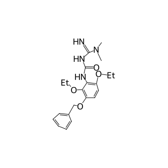 CCOc1ccc(OCc2ccccc2)c(OCC)c1NC(=O)NC(=N)N(C)C